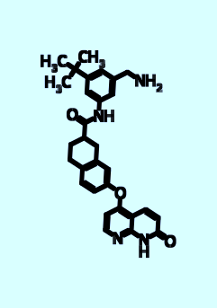 CC(C)(C)c1cc(CN)cc(NC(=O)C2CCc3ccc(Oc4ccnc5[nH]c(=O)ccc45)cc3C2)c1